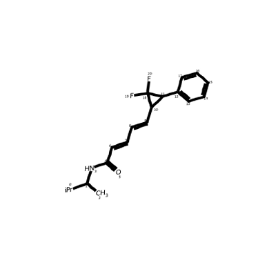 CC(C)C(C)NC(=O)/C=C/C=C/C1C(c2ccccc2)C1(F)F